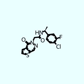 C[C@H](NC(=O)Cn1ncc2sccc2c1=O)c1ccc(Cl)c(F)c1